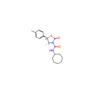 Cc1ccc([C@H]2SC(=O)N(C(=O)NC3CCCCCC3)[C@@H]2C)cc1